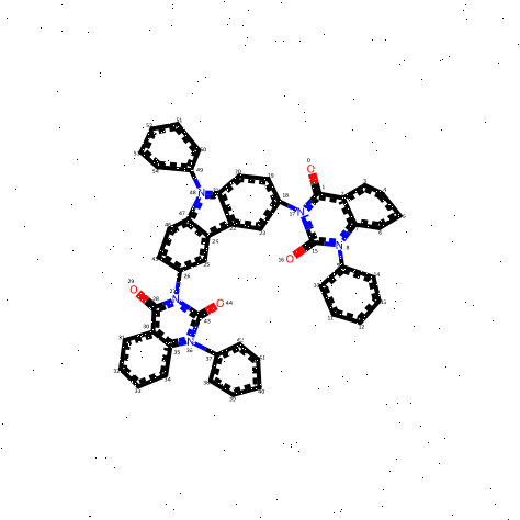 O=c1c2ccccc2n(-c2ccccc2)c(=O)n1-c1ccc2c(c1)c1cc(-n3c(=O)c4ccccc4n(-c4ccccc4)c3=O)ccc1n2-c1ccccc1